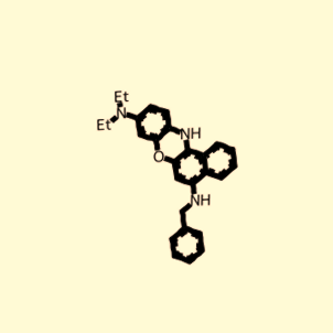 CCN(CC)c1ccc2c(c1)Oc1cc(NCc3ccccc3)c3ccccc3c1N2